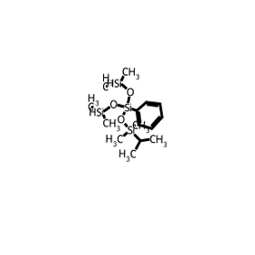 CC(C)[Si](C)(C)O[Si](O[SiH](C)C)(O[SiH](C)C)c1ccccc1